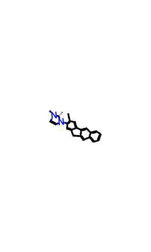 Cc1cc2c(cc1N1C=CN(C)[C@@H]1C)Cc1cc3ccccc3cc1-2